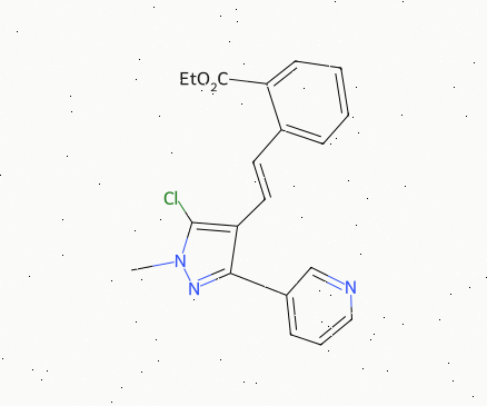 CCOC(=O)c1ccccc1C=Cc1c(-c2cccnc2)nn(C)c1Cl